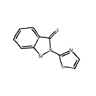 S=c1c2ccccc2[se]n1-c1nccs1